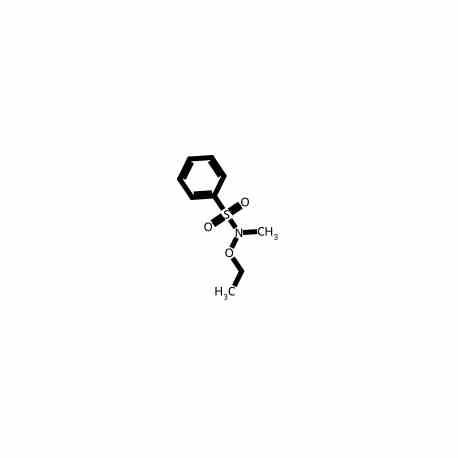 CCON(C)S(=O)(=O)c1ccccc1